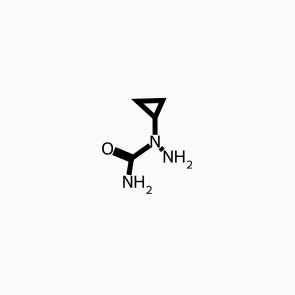 NC(=O)N(N)C1CC1